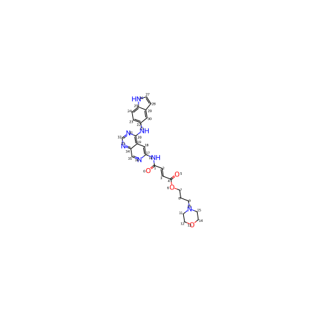 O=C(C=CC(=O)OCCCN1CCOCC1)Nc1cc2c(Nc3ccc4[nH]ccc4c3)ncnc2cn1